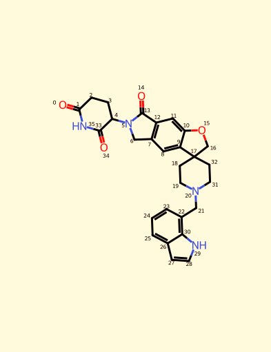 O=C1CCC(N2Cc3cc4c(cc3C2=O)OCC42CCN(Cc3cccc4cc[nH]c34)CC2)C(=O)N1